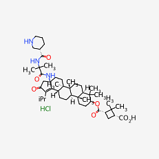 CC(C)C1=C2[C@H]3CC[C@@H]4[C@@]5(C)CC[C@H](OC(=O)[C@H]6C[C@@H](C(=O)O)C6(C)C)C(C)(C)[C@@H]5CC[C@@]4(C)[C@]3(C)CC[C@@]2(NC(=O)C(C)(C)NC(=O)[C@H]2CCCNC2)CC1=O.Cl